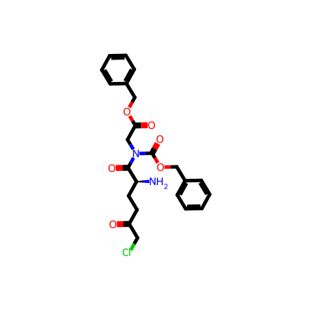 N[C@@H](CCC(=O)CCl)C(=O)N(CC(=O)OCc1ccccc1)C(=O)OCc1ccccc1